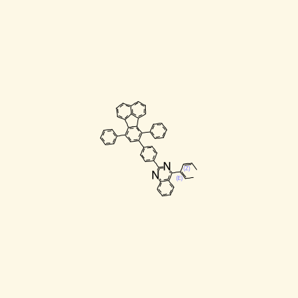 C/C=C\C(=C/C)c1nc(-c2ccc(-c3cc(-c4ccccc4)c4c(c3-c3ccccc3)-c3cccc5cccc-4c35)cc2)nc2ccccc12